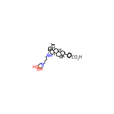 C=C(C)[C@@H]1CC[C@]2(CNCCCCN3CCS(O)(O)CC3)CC[C@]3(C)[C@H](CC[C@@H]4[C@@]5(C)CC=C(c6ccc(C(=O)O)cc6)C(C)(C)[C@@H]5CC[C@]43C)[C@@H]12